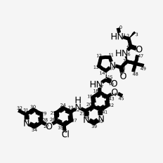 CN[C@@H](C)C(=O)N[C@H](C(=O)N1CCC[C@H]1C(=O)Nc1cc2c(Nc3ccc(Oc4ccc(C)nc4)c(Cl)c3)ncnc2cc1OC)C(C)(C)C